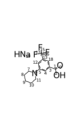 O=C(O)c1cc(N2CCCCC2)cc(C(F)(F)F)c1.[NaH]